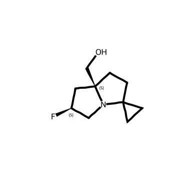 OC[C@@]12CCC3(CC3)N1C[C@@H](F)C2